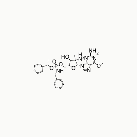 COc1nc(N)nc2c1ncn2[C@@H]1O[C@H](COP(=O)(NCc2ccccc2)O[C@@H](C)c2ccccc2)[C@@H](O)C1(C)N